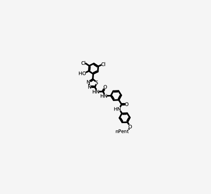 CCCCCOc1ccc(NC(=O)c2cccc(NC(=O)Nc3nnc(-c4cc(Cl)cc(Cl)c4O)s3)c2)cc1